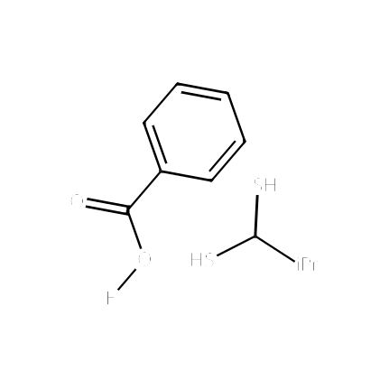 CC(C)C(S)S.O=C(OF)c1ccccc1